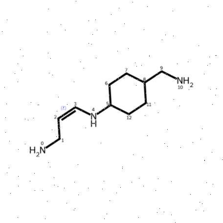 NC/C=C\NC1CCC(CN)CC1